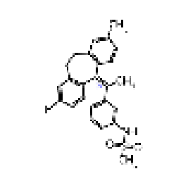 C/C(=C1\c2ccc(C)cc2CCc2cc(F)ccc21)c1cccc(NS(C)(=O)=O)c1